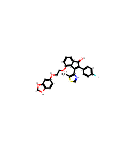 Cc1scnc1C1=C(c2ccc(F)cc2)C(=O)c2cccc(OCCOc3ccc4c(c3)OCO4)c21